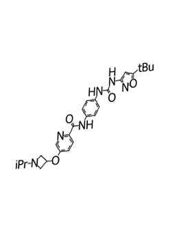 CC(C)N1CC(Oc2ccc(C(=O)Nc3ccc(NC(=O)Nc4cc(C(C)(C)C)on4)cc3)nc2)C1